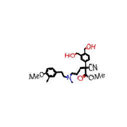 COC(=O)C(C#N)(CCCN(C)CCc1ccc(OC)c(C)c1)c1ccc(CO)c(CO)c1